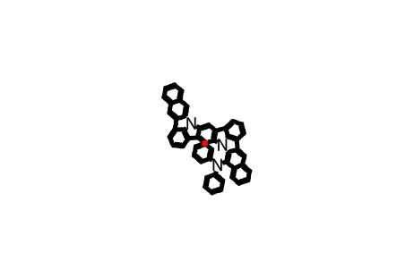 c1ccc(N(c2ccccc2)c2c3ccccc3cc3c4cccc5c6cc7c(cc6n(c23)c54)c2cccc3c4cc5ccccc5cc4n7c32)cc1